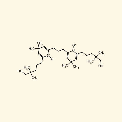 CC1(C)C=C(CCCC2=CC(C)(C)C=C(CCCC(C)(C)CO)[S+]2[O-])[S+]([O-])C(CCCC(C)(C)CO)=C1